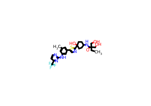 CCC(CO)(CO)C(=O)NC1CCC(O)(c2ncc(-c3cc(C)cc(Nc4nccc(C(F)(F)F)n4)c3)s2)CC1